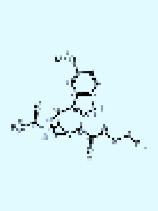 COc1ccc2[nH]c3c(c2c1)C1CCN(C3C(=O)OCCF)C1OC(=O)C(F)(F)F